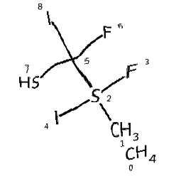 C.CS(F)(I)C(F)(S)I